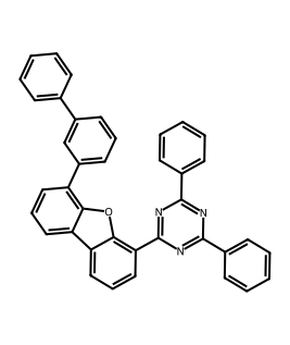 c1ccc(-c2cccc(-c3cccc4c3oc3c(-c5nc(-c6ccccc6)nc(-c6ccccc6)n5)cccc34)c2)cc1